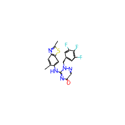 Cc1nc2cc(C)c(Nc3nc(=O)cnn3Cc3cc(F)c(F)c(F)c3)cc2s1